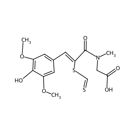 COc1cc(/C=C(\SC=S)C(=O)N(C)CC(=O)O)cc(OC)c1O